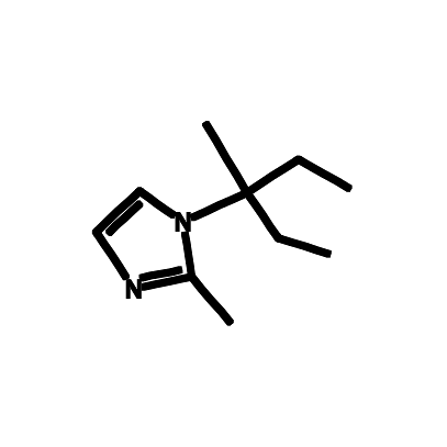 CCC(C)(CC)n1ccnc1C